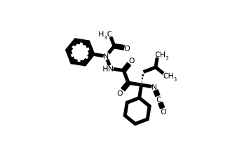 CC(=O)N(NC(=O)C(=O)[C@@](CC(C)C)(N=C=O)C1CCCCC1)c1ccccc1